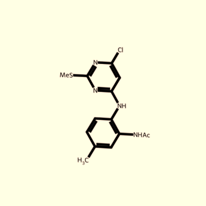 CSc1nc(Cl)cc(Nc2ccc(C)cc2NC(C)=O)n1